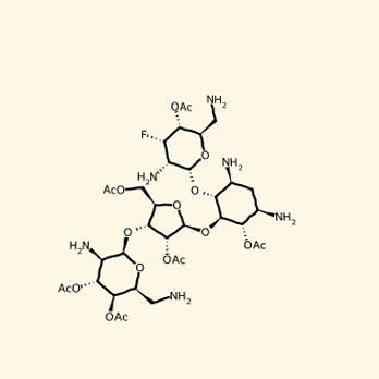 CC(=O)OC[C@H]1O[C@@H](O[C@@H]2[C@@H](OC(C)=O)[C@H](N)C[C@H](N)[C@H]2O[C@H]2O[C@H](CN)[C@@H](OC(C)=O)[C@@H](F)[C@H]2N)[C@H](OC(C)=O)[C@@H]1O[C@H]1O[C@@H](CN)[C@@H](OC(C)=O)[C@H](OC(C)=O)[C@H]1N